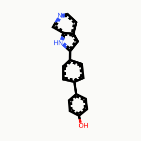 Oc1ccc(-c2ccc(-c3cc4ccncc4[nH]3)cc2)cc1